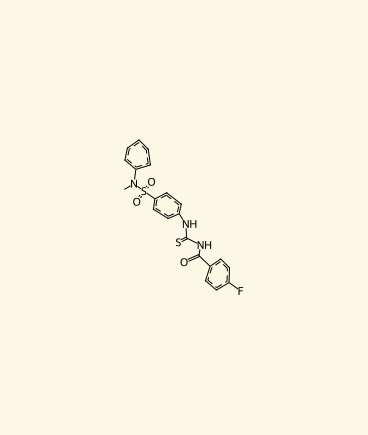 CN(c1ccccc1)S(=O)(=O)c1ccc(NC(=S)NC(=O)c2ccc(F)cc2)cc1